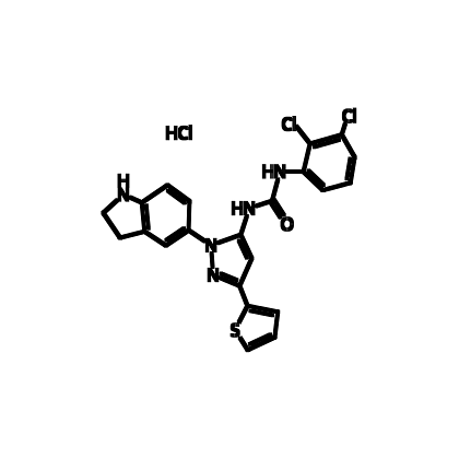 Cl.O=C(Nc1cccc(Cl)c1Cl)Nc1cc(-c2cccs2)nn1-c1ccc2c(c1)CCN2